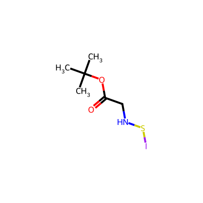 CC(C)(C)OC(=O)CNSI